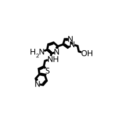 Nc1ccc(-c2cnn(CCO)c2)nc1NCc1cc2cnccc2s1